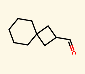 O=CC1CC2(CCCCC2)C1